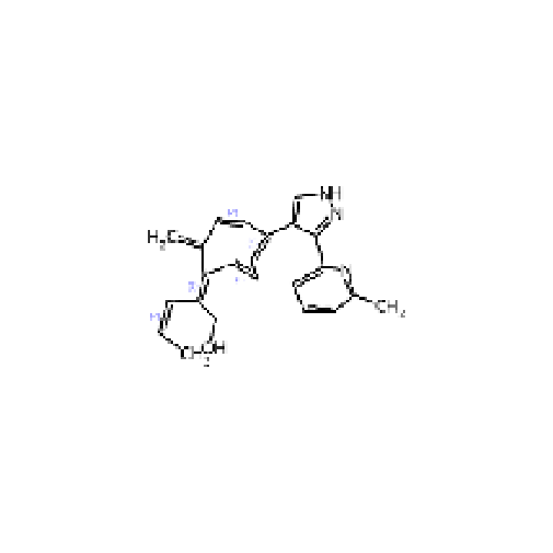 C=C1\C=C/C(c2c[nH]nc2-c2cccc(C)n2)=C/C=C/C1=C(/C=C\C)CO